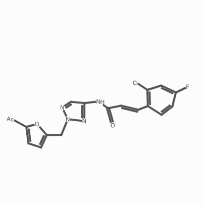 CC(=O)c1ccc(Cn2ncc(NC(=O)/C=C/c3ccc(F)cc3Cl)n2)o1